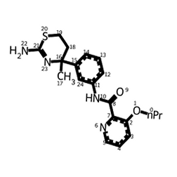 CCCOc1cccnc1C(=O)Nc1cccc(C2(C)CCSC(N)=N2)c1